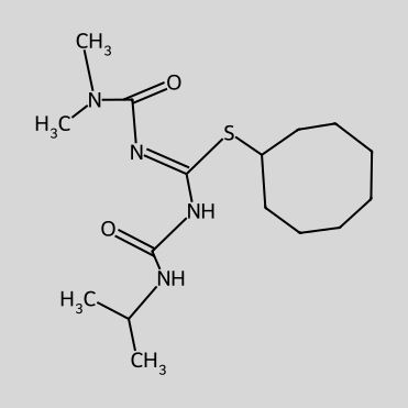 CC(C)NC(=O)NC(=NC(=O)N(C)C)SC1CCCCCCC1